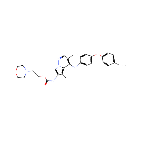 COc1ccc(Oc2ccc(Nc3c(C#N)cnn4cc(NC(=O)OCCN5CCOCC5)c(C)c34)cc2)cc1